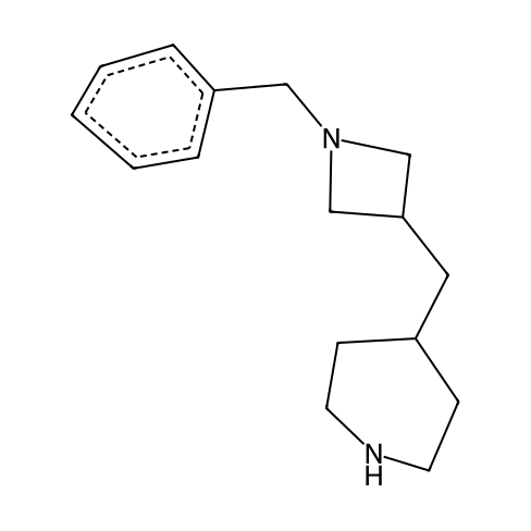 c1ccc(CN2CC(CC3CCNCC3)C2)cc1